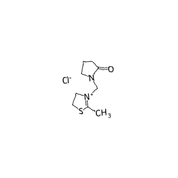 CC1=[N+](CN2CCCC2=O)CCS1.[Cl-]